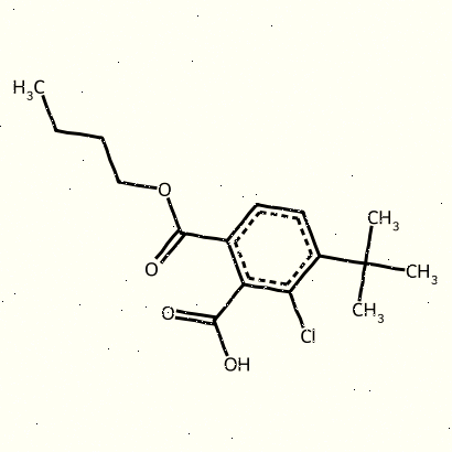 CCCCOC(=O)c1ccc(C(C)(C)C)c(Cl)c1C(=O)O